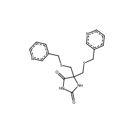 O=C1NC(=O)C(CSCc2cccnc2)(CSCc2cccnc2)N1